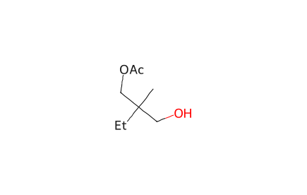 CCC(C)(CO)COC(C)=O